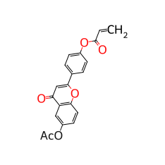 C=CC(=O)Oc1ccc(-c2cc(=O)c3cc(OC(C)=O)ccc3o2)cc1